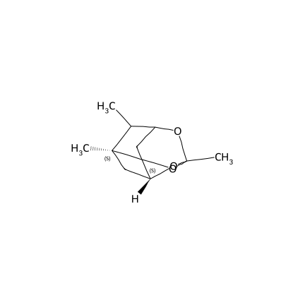 CC1C2C[C@H]3C[C@]1(C)OC(C)(O2)O3